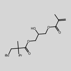 C=C(C)C(=O)OCC(O)COC(=O)C(C)(CC(C)CC)C(C)C